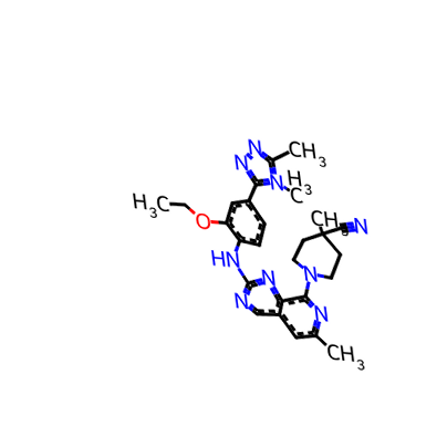 CCOc1cc(-c2nnc(C)n2C)ccc1Nc1ncc2cc(C)nc(N3CCC(C)(C#N)CC3)c2n1